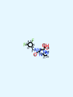 O=C(NCc1cc(F)cc(F)c1)c1cc(C(=O)O)n2nccc2n1